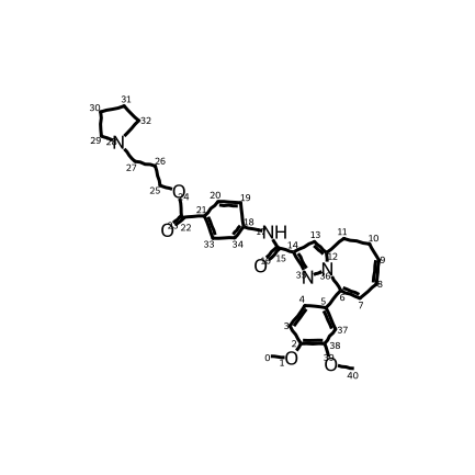 COc1ccc(/C2=C/C=C\CCc3cc(C(=O)Nc4ccc(C(=O)OCCCN5CCCC5)cc4)nn32)cc1OC